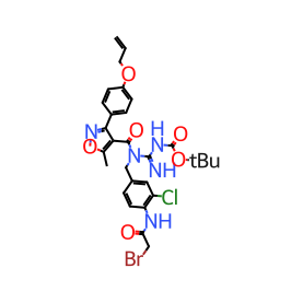 C=CCOc1ccc(-c2noc(C)c2C(=O)N(Cc2ccc(NC(=O)CBr)c(Cl)c2)C(=N)NC(=O)OC(C)(C)C)cc1